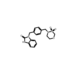 O=c1[nH]c2ccccc2n1Cc1ccc(CN2CCOCS2(=O)=O)cc1